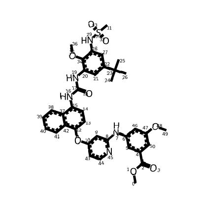 COC(=O)c1cc(Nc2cc(Oc3ccc(NC(=O)Nc4cc(C(C)(C)C)cc(NS(C)(=O)=O)c4OC)c4ccccc34)ccn2)cc(OC)c1